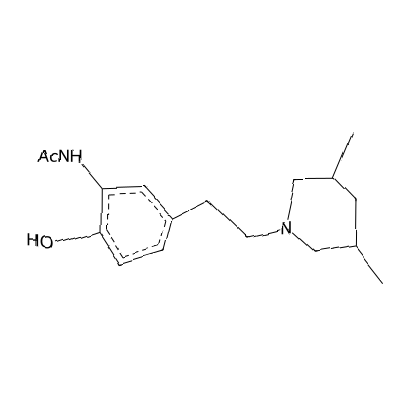 CC(=O)Nc1cc(CCN2CC(C)CC(C)C2)ccc1O